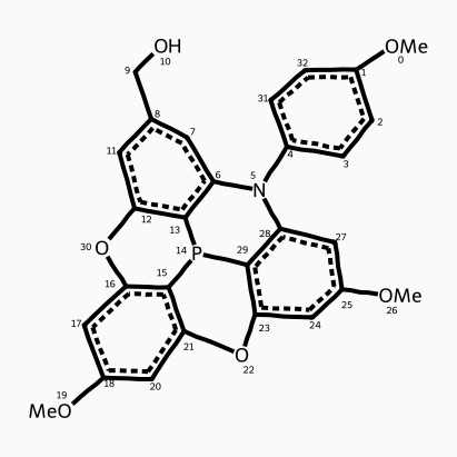 COc1ccc(N2c3cc(CO)cc4c3P3c5c(cc(OC)cc5Oc5cc(OC)cc2c53)O4)cc1